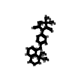 CC1(C)NC(=O)N(c2ccc(Oc3cccc4c3C(C)(C)CCO4)nc2)C1=O